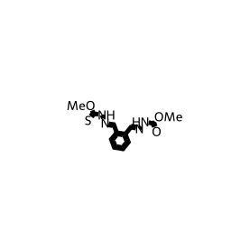 COC(=O)N/N=C/c1ccccc1/C=N/NC(=S)OC